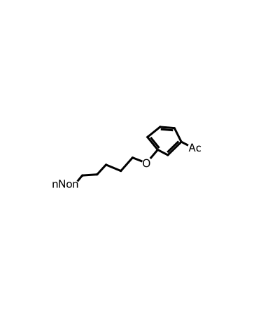 CCCCCCCCCCCCCCOc1cccc(C(C)=O)c1